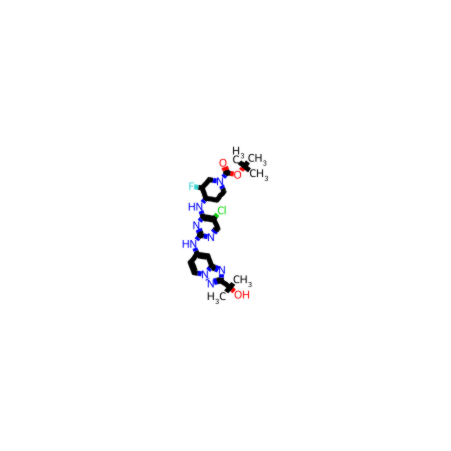 CC(C)(C)OC(=O)N1CCC(Nc2nc(Nc3ccn4nc(C(C)(C)O)nc4c3)ncc2Cl)C(F)C1